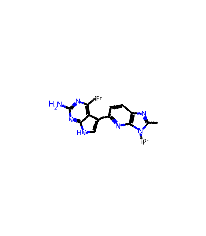 Cc1nc2ccc(-c3c[nH]c4nc(N)nc(C(C)C)c34)nc2n1C(C)C